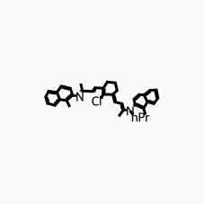 CCCN(/C(C)=C/C=C1\CCCC(/C=C/C(C)=N/c2ccc3ccccc3c2C)=C1Cl)c1ccc2ccccc2c1C